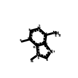 Cc1cnc(N)c2ncn(C)c12